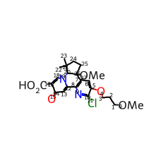 COCCCOc1cc2c(nc1Cl)-c1cc(=O)c(C(=O)O)cn1C1C(C)(C)CCC21OC